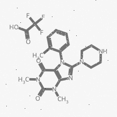 Cc1ccccc1-n1c(N2CCNCC2)nc2c1c(=O)n(C)c(=O)n2C.O=C(O)C(F)(F)F